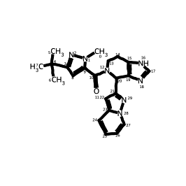 Cn1nc(C(C)(C)C)cc1C(=O)N1CCc2[nH]cnc2C1c1cc2ccccn2n1